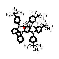 CC(C)N(c1ccc(C(C)(C)C)cc1)c1cccc2c3ccccc3n(-c3cc4c5c(c3)N(c3ccc(C(C)(C)C)cc3)c3ccc(C(C)(C)C)cc3B5c3cc(C(C)(C)C)ccc3O4)c12